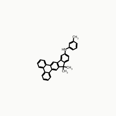 Cc1cccc(Nc2ccc3c(c2)-c2cc4c5ccccc5c5ccccc5c4cc2C3(C)C)c1